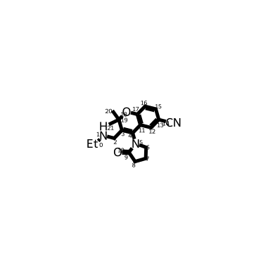 CCNCC1=C(N2CCCC2=O)c2cc(C#N)ccc2OC1(C)C